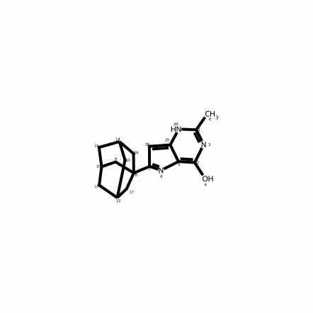 Cc1nc(O)c2nc(C34CC5CC(CC(C5)C3)C4)cc-2[nH]1